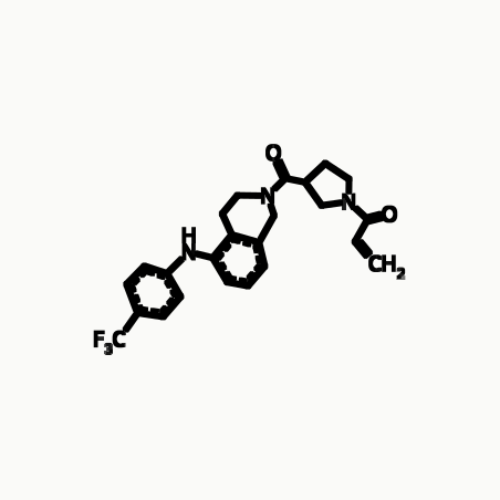 C=CC(=O)N1CCC(C(=O)N2CCc3c(cccc3Nc3ccc(C(F)(F)F)cc3)C2)C1